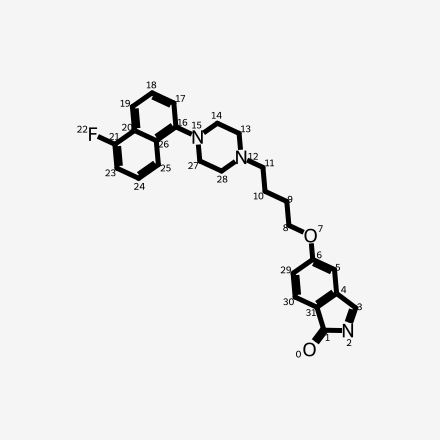 O=C1N=Cc2cc(OCCCCN3CCN(c4cccc5c(F)cccc45)CC3)ccc21